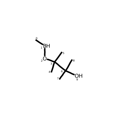 CBOC(C)(C)C(C)(C)O